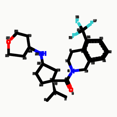 CC(C)[C@]1(C(=O)N2CCc3c(cccc3C(F)(F)F)C2)CCC(NC2CCOCC2)C1